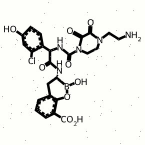 NCCN1CCN(C(=O)NC(C(=O)N[C@H]2Cc3cccc(C(=O)O)c3OB2O)c2ccc(O)cc2Cl)C(=O)C1=O